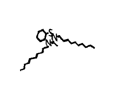 CCCCCCCCCCN=C(C)N(CCCCCCCCCC)SC1CCCCC1